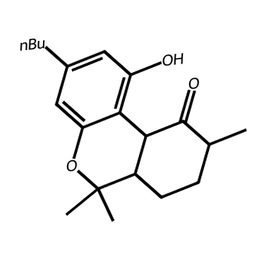 CCCCc1cc(O)c2c(c1)OC(C)(C)C1CCC(C)C(=O)C21